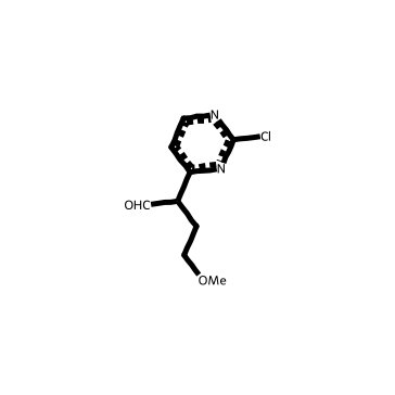 COCCC(C=O)c1ccnc(Cl)n1